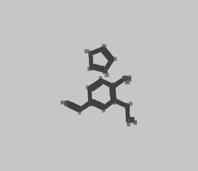 COc1cc(C=O)ccc1O.c1cscn1